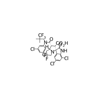 CC(C)(CN(C(=O)[C@@H]1C(C(=O)O)[C@@]2(C(=O)Nc3c(Cl)cc(Cl)cc32)N2CC(F)(F)C[C@H]12)c1cc(Cl)cc(Cl)c1)C(F)(F)F